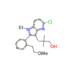 CCn1c(-c2ccccc2CCOC)c(CC(C)(C)CO)c2nc(Cl)ccc21